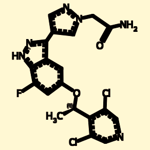 C[C@@H](Oc1cc(F)c2[nH]nc(-c3cnn(CC(N)=O)c3)c2c1)c1c(Cl)cncc1Cl